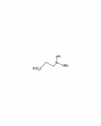 CCCCN(CCC)CCC(=O)OCC